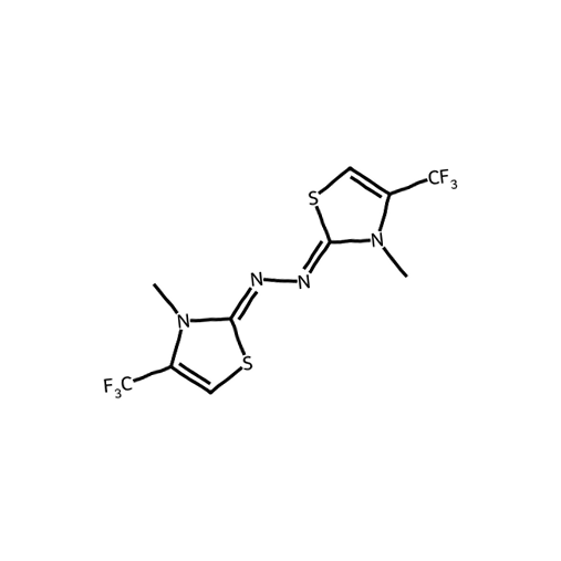 Cn1c(C(F)(F)F)csc1=NN=c1scc(C(F)(F)F)n1C